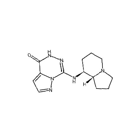 O=c1[nH]nc(N[C@H]2CCCN3CCC[C@H]23)n2nccc12